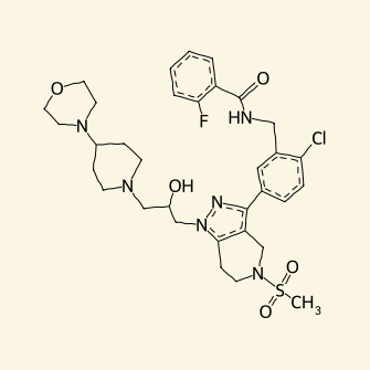 CS(=O)(=O)N1CCc2c(c(-c3ccc(Cl)c(CNC(=O)c4ccccc4F)c3)nn2CC(O)CN2CCC(N3CCOCC3)CC2)C1